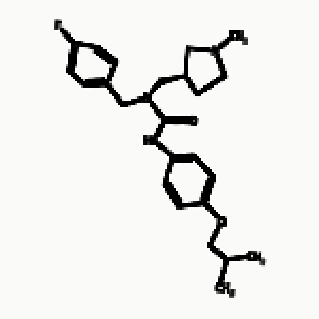 CC(C)COc1ccc(NC(=O)N(Cc2ccc(F)cc2)C[C@@H]2CCN(C)C2)cc1